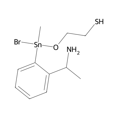 CC(N)c1cccc[c]1[Sn]([CH3])([Br])[O]CCS